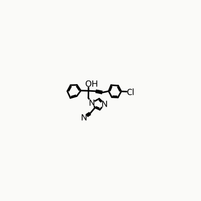 N#Cc1cncn1CC(O)(C#Cc1ccc(Cl)cc1)c1ccccc1